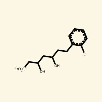 CCOC(=O)CC(O)CC(O)CCc1ccccc1Cl